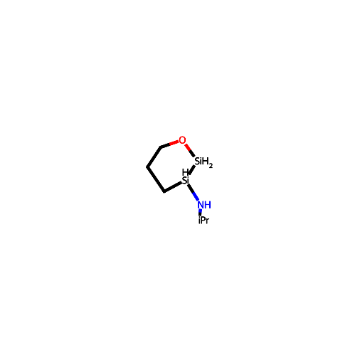 CC(C)N[SiH]1CCCO[SiH2]1